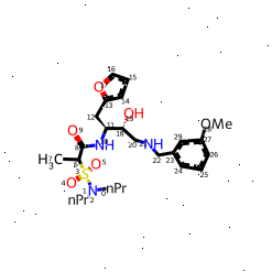 CCCN(CCC)S(=O)(=O)C(C)C(=O)N[C@@H](Cc1ccco1)[C@H](O)CNCc1cccc(OC)c1